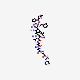 Cc1nc(C(=O)N2CCC[C@H]2C(=O)N[C@@H](CCC2CCCCC2)C(N)[C@@H](CC(C)C)C(N)C(C)(C)C(N)[C@@H](CC(C)C)C(N)[C@H](CC(C)C)C(=O)NC(C)(C)C(=O)NC(C)(C)C(=O)NCCC(=O)N[C@@H](C)CN2CCOCC2)co1